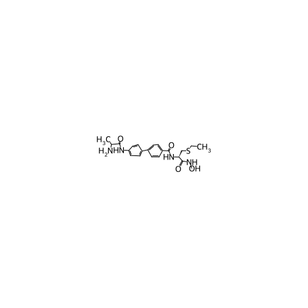 CCSC[C@H](NC(=O)c1ccc(-c2ccc(NC(=O)[C@H](C)N)cc2)cc1)C(=O)NO